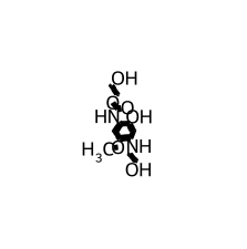 COc1cc(NC(=O)OCCO)c(O)cc1NCCO